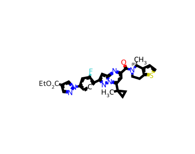 CCOC(=O)c1cnn(-c2ccc(-c3cc4nc(C(=O)N5CCc6sccc6[C@H]5C)cc(C5(C)CC5)n4n3)c(F)c2)c1